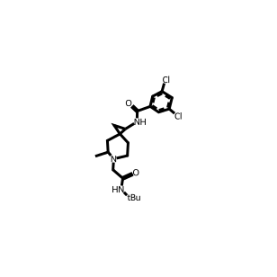 CC1CC2(CCN1CC(=O)NC(C)(C)C)CC2NC(=O)c1cc(Cl)cc(Cl)c1